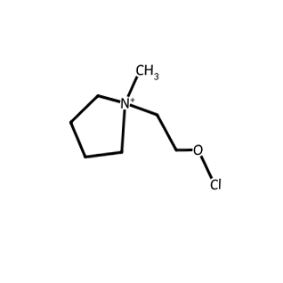 C[N+]1(CCOCl)CCCC1